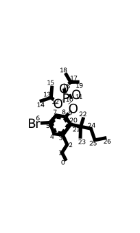 CCCc1cc(Br)cc(OP(=O)(OC(C)C)OC(C)C)c1C(C)(C)CCC